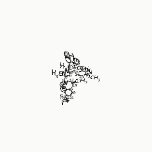 CCn1nnc2c(C)c([C@H](c3cc(CN4C[C@@H](C)Cc5ccc(C(F)(F)F)cc5S4(=O)=O)n(C)n3)C(C)(C)C(=O)OC)ccc21